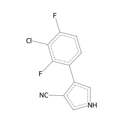 N#Cc1c[nH]cc1-c1ccc(F)c(Cl)c1F